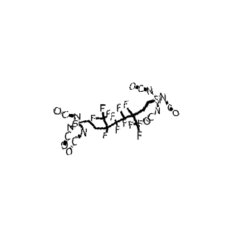 O=C=N[Si](CCC(F)(C(F)(F)F)C(F)(F)C(F)(F)C(F)(CC[Si](N=C=O)(N=C=O)N=C=O)C(F)(F)F)(N=C=O)N=C=O